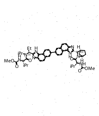 CC[C@@H](c1nc2ccc3cc(-c4ccc5c(ccc6nc([C@@H]7[C@H]8CC[C@H](C8)N7C(=O)[C@@H](NC(=O)OC)C(C)C)[nH]c65)c4)ccc3c2[nH]1)N(C(=O)[C@@H](NC(=O)OC)C(C)C)C(C)C